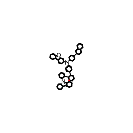 c1ccc(-c2ccccc2-n2c3ccccc3c3ccccc32)c(-c2ccc(N(c3ccc(-c4ccc5ccccc5c4)cc3)c3ccc4c(c3)oc3ccccc34)cc2)c1